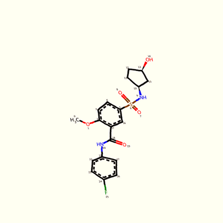 COc1ccc(S(=O)(=O)N[C@H]2CC[C@@H](O)C2)cc1C(=O)Nc1ccc(F)cc1